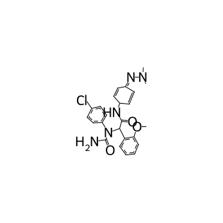 COc1ccccc1C(C(=O)NC1C=CC(=NN(C)C)C=C1)N(C(N)=O)c1ccc(Cl)cc1